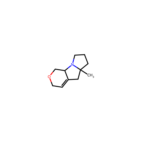 CC12CCCN1C1COCC=C1C2